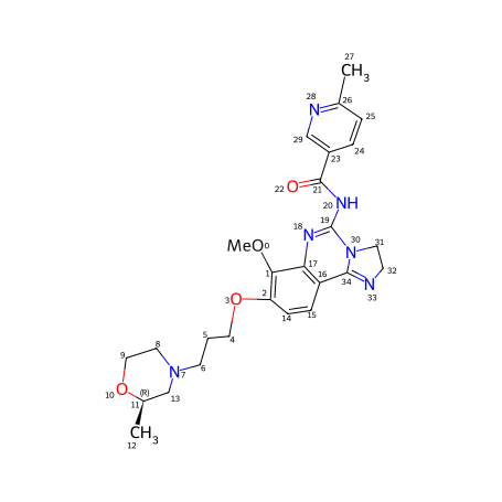 COc1c(OCCCN2CCO[C@H](C)C2)ccc2c1N=C(NC(=O)c1ccc(C)nc1)N1CCN=C21